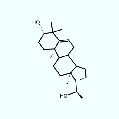 C[C@@H](O)[C@H]1CCC2C3CC=C4C(C)(C)[C@@H](O)CC[C@]4(C)C3CC[C@@]21C